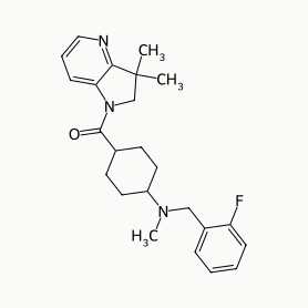 CN(Cc1ccccc1F)C1CCC(C(=O)N2CC(C)(C)c3ncccc32)CC1